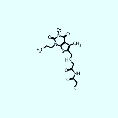 CCn1c(=O)c2c(C)c(CNCC(=O)NC(=O)CCl)sc2n(CCC(F)(F)F)c1=O